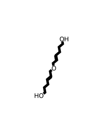 OCCCC=CCOCC=CCCCO